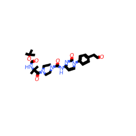 CC(C)(C)OC(=O)NC(C)(C)C(=O)N1CCN(C(=O)Nc2ccn(-c3ccc(CC=O)cc3)c(=O)n2)CC1